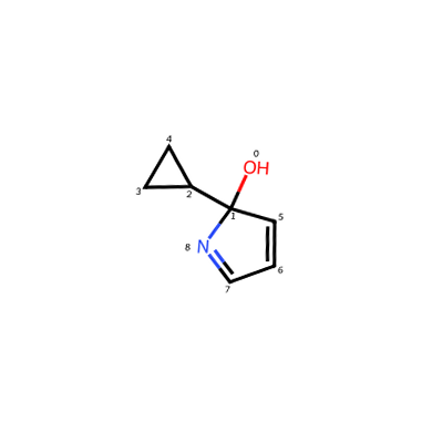 OC1(C2CC2)C=CC=N1